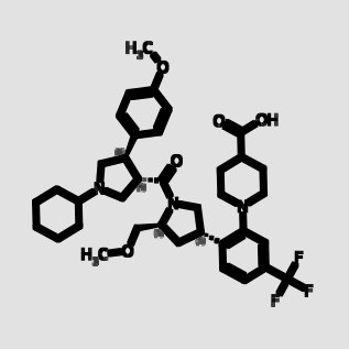 COC[C@@H]1C[C@@H](c2ccc(C(F)(F)F)cc2N2CCC(C(=O)O)CC2)CN1C(=O)[C@@H]1CN(C2CCCCC2)C[C@H]1c1ccc(OC)cc1